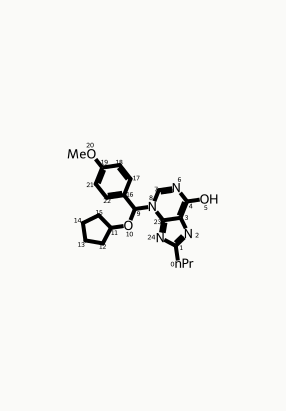 CCCc1nc2c(O)ncn(C(OC3CCCC3)c3ccc(OC)cc3)c-2n1